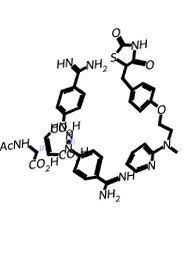 CC(=O)NCC(=O)O.CN(CCOc1ccc(CC2SC(=O)NC2=O)cc1)c1ccccn1.N=C(N)c1ccc(/N=N/Nc2ccc(C(=N)N)cc2)cc1.O=C(O)/C=C\C(=O)O